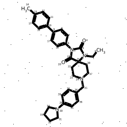 CCN1C(=O)N(c2ccc(-c3ccc(C)cc3)cc2)C(=O)C12CCN(Cc1ccc(N3CCCC3)cc1)CC2